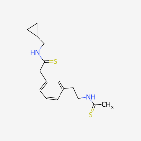 CC(=S)NCCc1cccc(CC(=S)NCC2CC2)c1